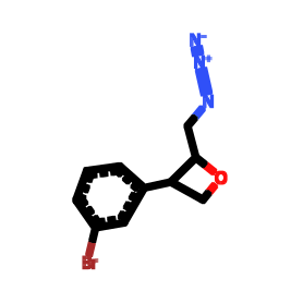 [N-]=[N+]=NCC1OCC1c1cccc(Br)c1